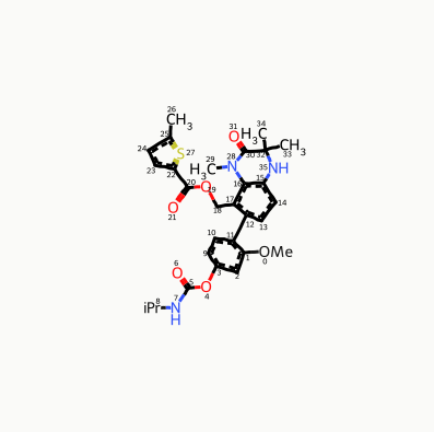 COc1cc(OC(=O)NC(C)C)ccc1-c1ccc2c(c1COC(=O)c1ccc(C)s1)N(C)C(=O)C(C)(C)N2